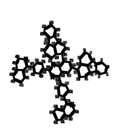 c1ccc2c(c1)-c1cccc3c(-c4cc(-c5ccc6c7c(cccc57)-c5ccccc5-6)c5nc(-c6ccc(-c7nccc8ccccc78)cc6)nc(-c6ccc(-c7nccc8ccccc78)cc6)c5c4)ccc-2c13